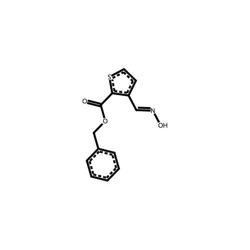 O=C(OCc1ccccc1)c1sccc1C=NO